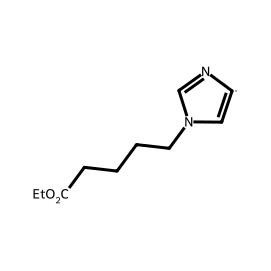 CCOC(=O)CCCCn1c[c]nc1